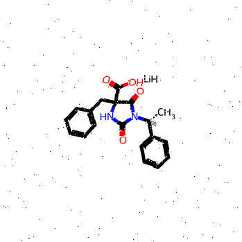 C[C@H](c1ccccc1)N1C(=O)NC(Cc2ccccc2)(C(=O)O)C1=O.[LiH]